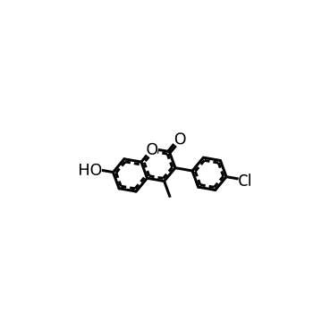 Cc1c(-c2ccc(Cl)cc2)c(=O)oc2cc(O)ccc12